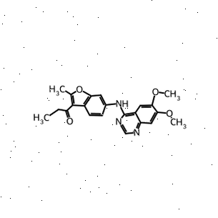 CCC(=O)c1c(C)oc2cc(Nc3ncnc4cc(OC)c(OC)cc34)ccc12